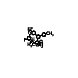 Cc1ccc(-c2cc(C3CCC(C(F)(F)F)N(Cc4cc(F)cc(C(F)(F)F)c4)C3)cc(C(CC(C)C)C(=O)O)c2)cc1